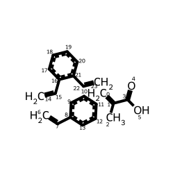 C=C(C)C(=O)O.C=Cc1ccccc1.C=Cc1ccccc1C=C